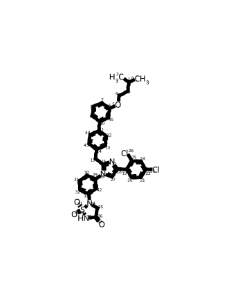 CC(C)CCOc1cccc(-c2ccc(Cc3nc(-c4ccc(Cl)cc4Cl)cn3-c3cccc(N4CC(=O)NS4(=O)=O)c3)cc2)c1